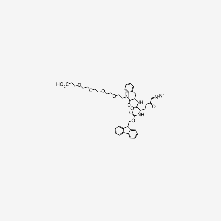 [N-]=[N+]=CC(=O)CCC(NC(=O)OCC1c2ccccc2-c2ccccc21)C(=O)NC(Cc1ccccc1)C(=O)NCCOCCOCCOCCOCCC(=O)O